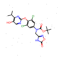 CC(C)c1nc(Oc2c(Cl)cc(N(Cc3noc(=O)[nH]3)C(=O)OC(C)(C)C)cc2Cl)ncc1O